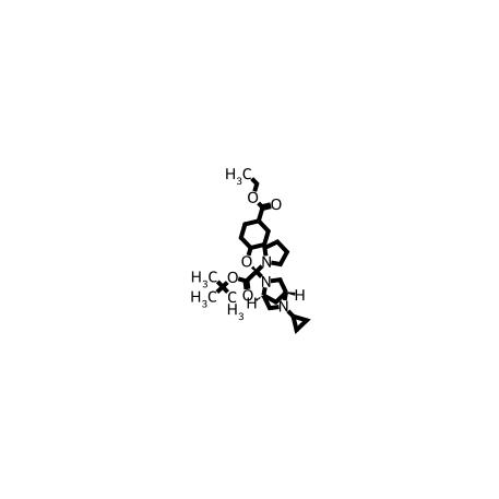 CCOC(=O)C1CCC(O[C@@](C(=O)OC(C)(C)C)(N2CCCC2)N2C[C@H]3C[C@H]2CN3C2CC2)CC1